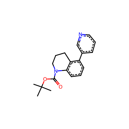 CC(C)(C)OC(=O)N1CCCc2c(-c3cccnc3)cccc21